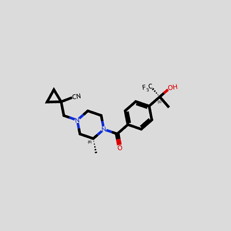 C[C@@H]1CN(CC2(C#N)CC2)CCN1C(=O)c1ccc([C@](C)(O)C(F)(F)F)cc1